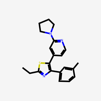 CCc1nc(-c2cccc(C)c2)c(-c2ccnc(N3CCCC3)c2)s1